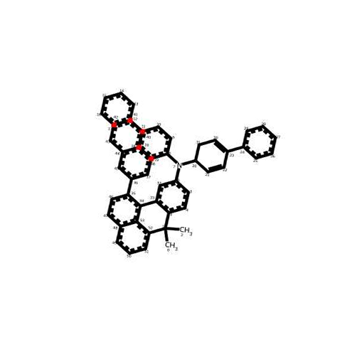 CC1(C)c2ccc(N(c3ccc(-c4ccccc4)cc3)C3C=CC(c4ccccc4)=CC3)cc2-c2c(-c3ccc4ccccc4c3)ccc3cccc1c23